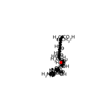 CC(C)(CC(=O)O)C(=O)SCCNC(=O)CCNC(=O)C(O)C(C)(C)COP(=O)(O)OP(=O)(O)OC[C@H]1O[C@@H](n2cnc3c(N)ncnc32)[C@H](O)[C@@H]1OP(=O)(O)O